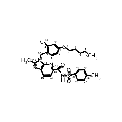 CCCCCSc1ccc(Cn2c(C)nc3ccc(C(=O)NS(=O)(=O)c4ccc(C)cc4)nc32)c(Cl)c1